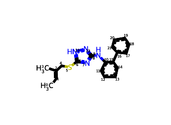 CC=C(C)CSc1nc(Nc2ccccc2-c2ccccc2)n[nH]1